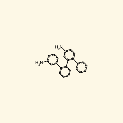 Nc1cccc(-c2ccccc2-c2cc(N)ccc2-c2ccccc2)c1